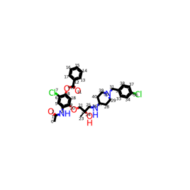 CC(=O)Nc1cc(Cl)c(OC(=O)c2ccccc2)cc1OC[C@@](C)(O)CNC1CCN(Cc2ccc(Cl)cc2)CC1